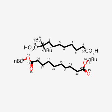 CCCCC(CCCC)(CCCCCCCC(=O)O)C(=O)O.CCCCOC(=O)CCCCCCCCC(=O)OCCCC